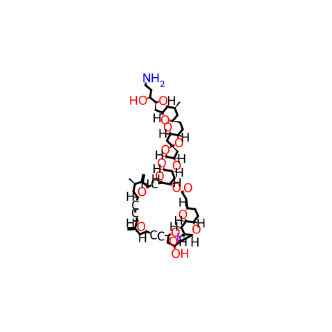 C=C1C[C@@H]2CC[C@]34CC(O)C(O3)[C@@H]3O[C@H]5CC[C@H](CC(=O)O[C@@H]6C[C@@H]7O[C@@H]8C[C@]9(C[C@@H]%10O[C@@]%11(CC[C@@H]%10O9)C[C@H](C)[C@@H]9O[C@H]([C@@H](O)CCN)C[C@@H]9O%11)O[C@@H]8O[C@@H]7O[C@H]6C[C@H]6O[C@@H](CC[C@@H]1O2)C[C@@H](C)C6=C)O[C@@H]5[C@H](O4)[C@@H]3I